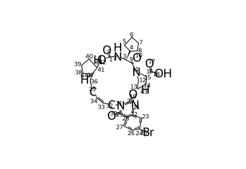 O=C1N[C@@H](C2CCCC2)C(=O)N2C[C@@H](C[C@H]2C(=O)O)Oc2nc3cc(Br)ccc3c(=O)n2CC=CCC[C@@H]2CCC[C@H]2O1